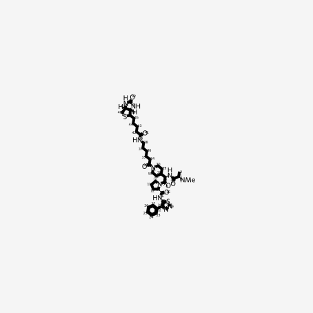 CN[C@@H](C)C(=O)N[C@H](C(=O)N1CCC[C@H]1C(=O)Nc1snnc1-c1ccccc1)C1CCN(C(=O)CCCCCNC(=O)CCCCC2SC[C@@H]3NC(=O)N[C@H]23)CC1